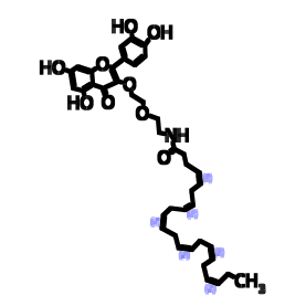 CC/C=C\C/C=C\C/C=C\C/C=C\C/C=C\C/C=C\CCC(=O)NCCOCCOc1c(-c2ccc(O)c(O)c2)oc2cc(O)cc(O)c2c1=O